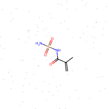 C=C(C)C(=O)NS(N)(=O)=O